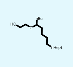 CCCCCCCCCCCC(CCCC)OCCO